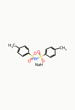 Cc1ccc(S(=O)(=O)NS(=O)(=O)c2ccc(C)cc2)cc1.[NaH]